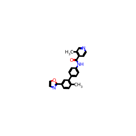 Cc1cnccc1C(=O)Nc1ccc(-c2cc(-c3ncco3)ccc2C)cc1